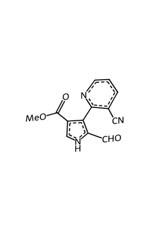 COC(=O)c1c[nH]c(C=O)c1-c1ncccc1C#N